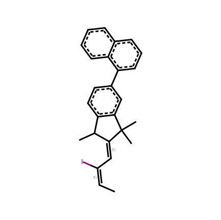 C/C=C(I)\C=C1/C(C)c2ccc(-c3cccc4ccccc34)cc2C1(C)C